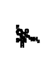 NCCn1c(=O)c2cc(F)ccc2n2c(=S)[nH]nc12